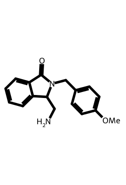 COc1ccc(CN2C(=O)c3ccccc3C2CN)cc1